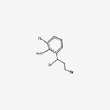 CC(=O)Oc1c(Cl)cccc1C(Br)CCBr